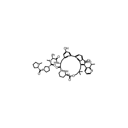 CCn1c(-c2cccnc2[C@H](C)OC)c2c3cc(ccc31)-c1cc(O)cc(c1)C[C@H](NC(=O)[C@H](C(C)C)N(C)C(=O)[C@H]1CCN(C(=O)[C@H]3CCCN3C)C1)C(=O)N1CCC[C@H](N1)C(=O)OCC(C)(C)C2